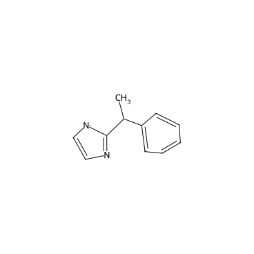 CC(C1=NC=C[N]1)c1ccccc1